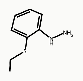 CCSc1ccccc1NN